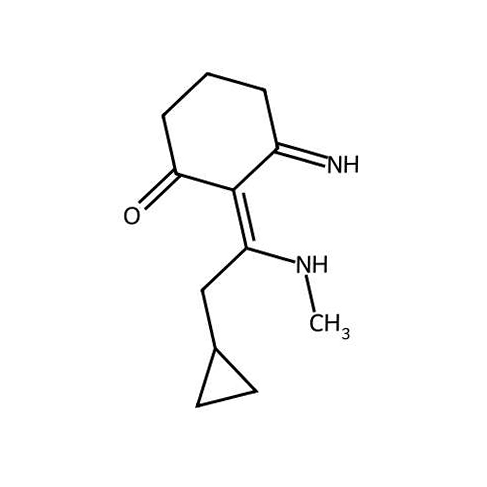 CN/C(CC1CC1)=C1\C(=N)CCCC1=O